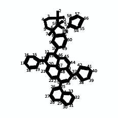 CC1(C)CCCC2(C)c3cc(-c4cc(-c5ccccc5)c5ccc6c(-c7cccc8ccccc78)cc(-c7ccccc7)c7ccc4c5c76)ccc3N(c3ccccc3)C12C